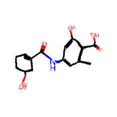 CC1C=C(NC(=O)C2=CCCC(O)C2)C=C(O)C1C(=O)O